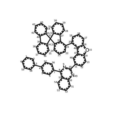 c1ccc(-c2ccc(-c3nc(-c4ccc5oc6cccc(-c7cccc8c7-c7ccccc7C87c8ccccc8-c8ccccc87)c6c5c4)nc4ccccc34)cc2)cc1